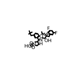 CC(=O)NC(Cc1cc(F)cc(F)c1)C(O)CNC(c1cccc(CC(C)(C)C)c1)C1CCN(S(=O)(=O)O)C1